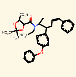 CC(C(C/C=C\c1ccccc1)c1ccc(Oc2ccccc2)cc1)N(CC(=O)O)C(=O)C1OC(C(=O)O)(C(=O)O)OC1C(=O)O